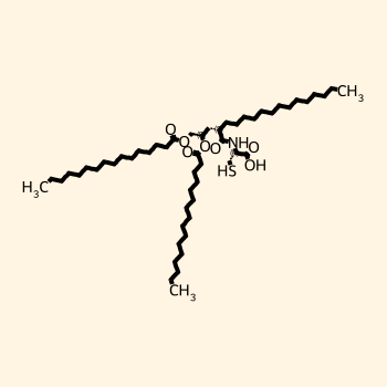 CCCCCCCCCCCCCCCC(=O)OC[C@@H](C[C@H](CCCCCCCCCCCCCC)C(=O)N[C@@H](CS)C(=O)O)OC(=O)CCCCCCCCCCCCCCC